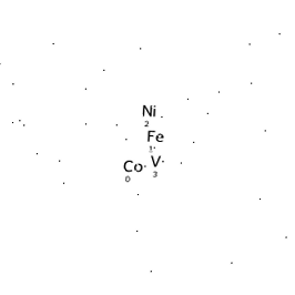 [Co].[Fe].[Ni].[V]